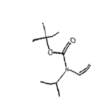 C=CN(C(=O)OC(C)(C)C)C(C)C